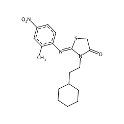 Cc1cc([N+](=O)[O-])ccc1N=C1SCC(=O)N1CCC1CCCCC1